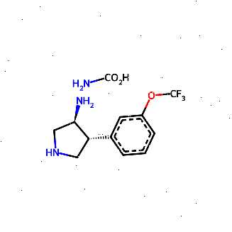 NC(=O)O.N[C@@H]1CNC[C@H]1c1cccc(OC(F)(F)F)c1